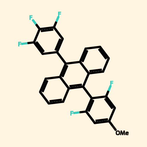 COc1cc(F)c(-c2c3ccccc3c(-c3cc(F)c(F)c(F)c3)c3ccccc23)c(F)c1